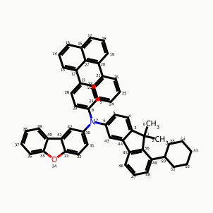 CC1(C)c2ccc(N(c3ccc(-c4cccc5cccc(-c6ccccc6)c45)cc3)c3ccc4oc5ccccc5c4c3)cc2-c2cccc(C3CCCCC3)c21